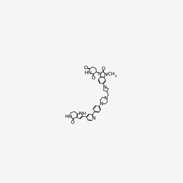 Cn1c(=O)n(C2CCC(=O)NC2=O)c2ccc(N3CC(CN4CCN(c5ccc(-c6cc(-c7cc8c([nH]7)CCNC8=O)ccn6)cc5)CC4)C3)cc21